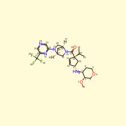 CO[C@@H]1COCC[C@@H]1N[C@@H]1C=C[C@@](C(=O)N2C[C@@H]3C[C@H]2CN3c2cncc(C(F)(F)F)n2)(C(C)C)C1